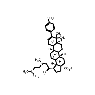 C=C(CN(C)CCN(C)C)[C@@H]1CC[C@]2(C(=O)O)CC[C@]3(C)[C@H](CC[C@@H]4[C@@]5(C)CC=C(c6ccc(C(=O)O)cc6)C(C)(C)[C@@H]5CC[C@]43C)[C@@H]12